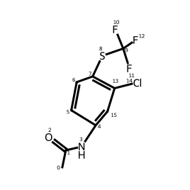 CC(=O)Nc1ccc(SC(F)(F)F)c(Cl)c1